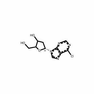 OCC1O[C@@H](n2cnc3c(Cl)ncnc32)CC1O